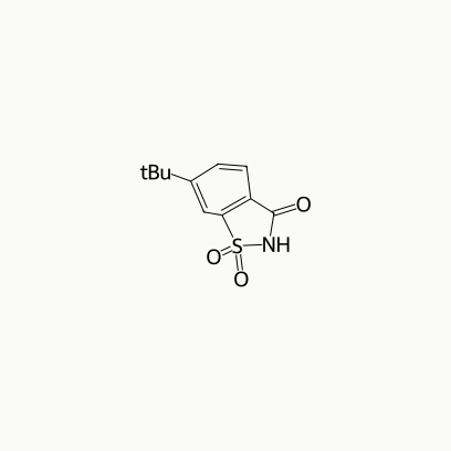 CC(C)(C)c1ccc2c(c1)S(=O)(=O)NC2=O